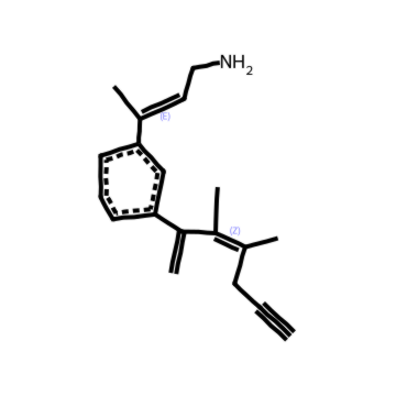 C#CC/C(C)=C(/C)C(=C)c1cccc(/C(C)=C/CN)c1